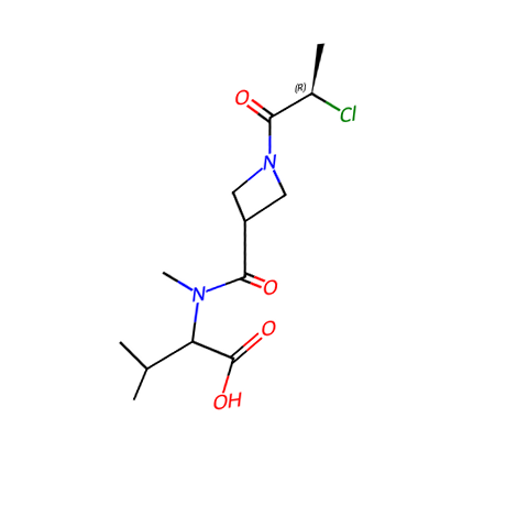 CC(C)C(C(=O)O)N(C)C(=O)C1CN(C(=O)[C@@H](C)Cl)C1